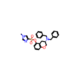 Cn1cnc(S(=O)(=O)Oc2cccc3c2C[C@H](N(Cc2ccccc2)Cc2ccccc2)CO3)c1